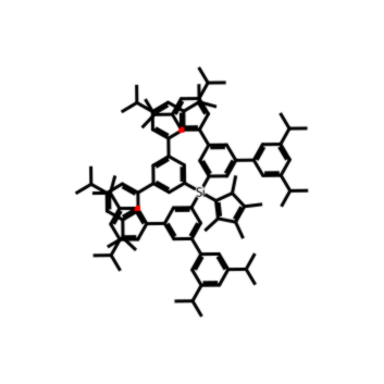 CC1=C(C)C(C)C([Si](c2cc(-c3cc(C(C)C)cc(C(C)C)c3)cc(-c3cc(C(C)C)cc(C(C)C)c3)c2)(c2cc(-c3cc(C(C)C)cc(C(C)C)c3)cc(-c3cc(C(C)C)cc(C(C)C)c3)c2)c2cc(-c3cc(C(C)C)cc(C(C)C)c3)cc(-c3cc(C(C)C)cc(C(C)C)c3)c2)=C1C